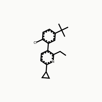 CCc1nc(C2CC2)ccc1-c1cc(C(C)(C)C)ccc1Cl